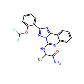 CCC(Nc1nc2ccccc2c2nc(-c3ccccc3OC(F)F)nn12)C(N)=O